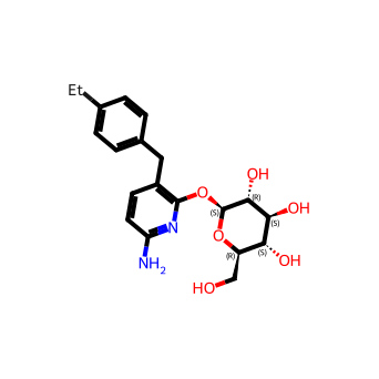 CCc1ccc(Cc2ccc(N)nc2O[C@@H]2O[C@H](CO)[C@@H](O)[C@H](O)[C@H]2O)cc1